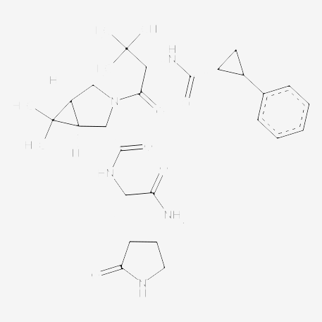 CC(C)(C)[C@H](NC(=O)[C@@H]1CC1c1ccccc1)C(=O)N1C[C@H]2[C@@H]([C@H]1C(=O)N[C@@H](C[C@@H]1CCNC1=O)C(N)=O)C2(C)C